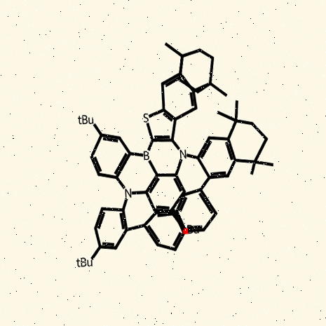 CC(C)(C)c1ccc2c(c1)B1c3sc4cc5c(cc4c3N(c3cc4c(cc3-c3ccccc3)C(C)(C)CCC4(C)C)c3cc(C(C)(C)C)cc(c31)N2c1ccc(C(C)(C)C)cc1-c1ccccc1)C1(C)CCC5(C)CC1